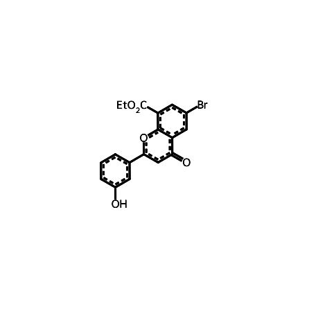 CCOC(=O)c1cc(Br)cc2c(=O)cc(-c3cccc(O)c3)oc12